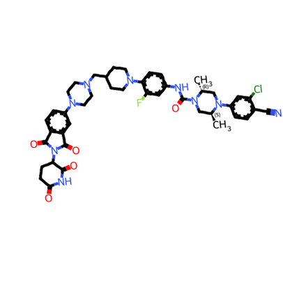 C[C@@H]1CN(c2ccc(C#N)c(Cl)c2)[C@@H](C)CN1C(=O)Nc1ccc(N2CCC(CN3CCN(c4ccc5c(c4)C(=O)N(C4CCC(=O)NC4=O)C5=O)CC3)CC2)c(F)c1